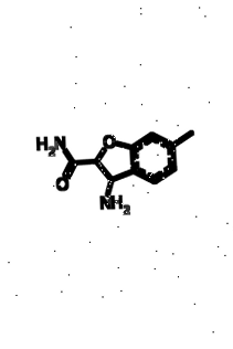 Cc1ccc2c(c1)OC(C(N)=O)C2N